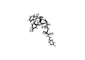 O=C(CNC(=O)c1ccc(S(=O)(=O)Nc2ccccc2Oc2ccc(Cl)cc2Cl)cc1)NCCCN1CCCCC1